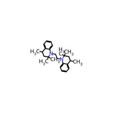 CC1CC(C)(C)N(CCN2c3ccccc3C(C)CC2(C)C)c2ccccc21